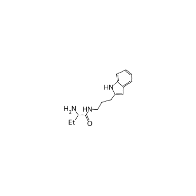 CCC(N)C(=O)NCCCc1cc2ccccc2[nH]1